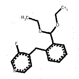 CCOC(OCC)c1ccccc1Cc1ccncc1F